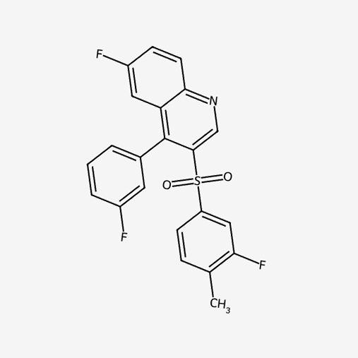 Cc1ccc(S(=O)(=O)c2cnc3ccc(F)cc3c2-c2cccc(F)c2)cc1F